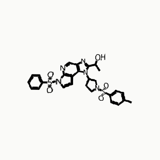 Cc1ccc(S(=O)(=O)N2CCC(n3c(C(C)O)nc4cnc5c(ccn5S(=O)(=O)c5ccccc5)c43)C2)cc1